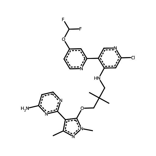 Cc1nn(C)c(OCC(C)(C)CNc2cc(Cl)ncc2-c2cc(OC(F)F)ccn2)c1-c1nccc(N)n1